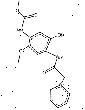 COC(=O)Nc1cc(O)c(NC(=O)C[n+]2ccccc2)cc1OC